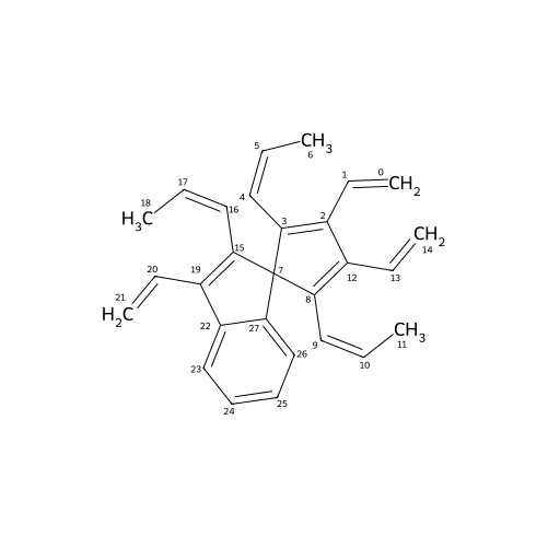 C=CC1=C(/C=C\C)C2(C(/C=C\C)=C1C=C)C(/C=C\C)=C(C=C)c1ccccc12